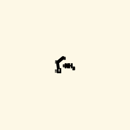 N.[Li][CH2]C